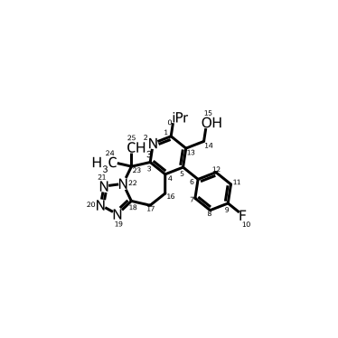 CC(C)c1nc2c(c(-c3ccc(F)cc3)c1CO)CCc1nnnn1C2(C)C